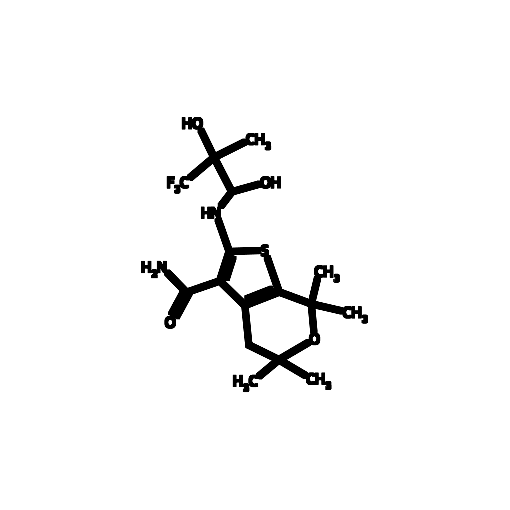 CC1(C)Cc2c(sc(NC(O)C(C)(O)C(F)(F)F)c2C(N)=O)C(C)(C)O1